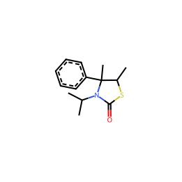 CC(C)N1C(=O)SC(C)C1(C)c1ccccc1